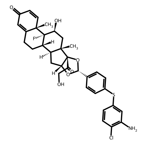 C[C@]12C=CC(=O)C=C1CC[C@H]1[C@@H]3C[C@H]4O[C@@H](c5ccc(Sc6ccc(Cl)c(N)c6)cc5)O[C@@]4(C(=O)CO)[C@@]3(C)C[C@H](O)[C@@]12F